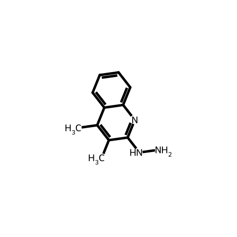 Cc1c(NN)nc2ccccc2c1C